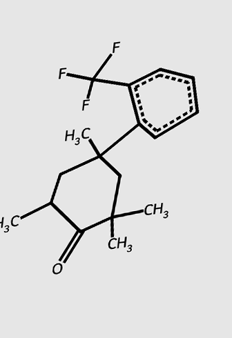 CC1CC(C)(c2ccccc2C(F)(F)F)CC(C)(C)C1=O